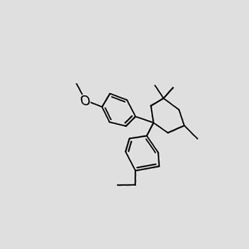 CCc1ccc(C2(c3ccc(OC)cc3)CC(C)CC(C)(C)C2)cc1